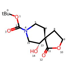 CC(C)(C)OC(=O)N1CC[C@]2(CCOC2=O)[C@H](O)C1